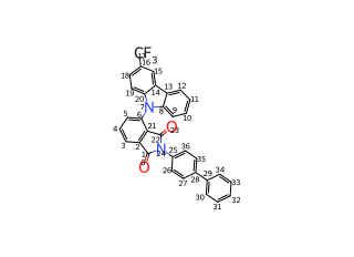 O=C1c2cccc(-n3c4ccccc4c4cc(C(F)(F)F)ccc43)c2C(=O)N1c1ccc(-c2ccccc2)cc1